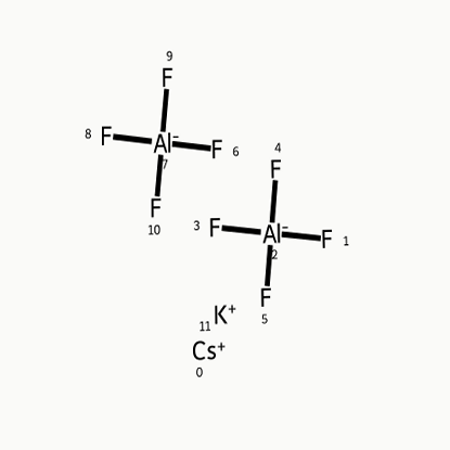 [Cs+].[F][Al-]([F])([F])[F].[F][Al-]([F])([F])[F].[K+]